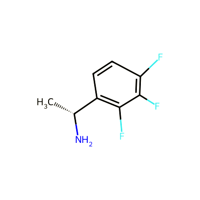 C[C@@H](N)c1ccc(F)c(F)c1F